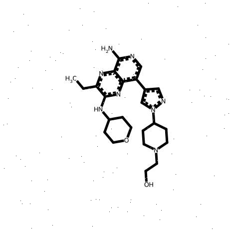 CCc1nc2c(N)ncc(-c3cnn(C4CCN(CCO)CC4)c3)c2nc1NC1CCOCC1